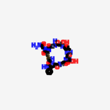 CC(C)C1NC(=O)[C@H](CC(=O)O)NC(=O)[C@H](C)N(C)C(=O)[C@@H](Cc2c[nH]c3ccccc23)NC(=O)CSC[C@@H](C(=O)NCC(N)=O)NC(=O)CNC(=O)[C@H](CO)N(C)C1=O